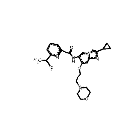 CC(F)c1cccc(C(=O)Nc2cn3cc(C4CC4)nc3cc2OCCN2CCOCC2)n1